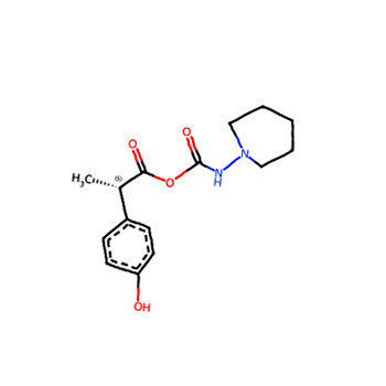 C[C@H](C(=O)OC(=O)NN1CCCCC1)c1ccc(O)cc1